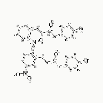 O=[N+]([O-])c1cccc(C=C[S+]([O-])Cc2ccc(Br)cc2)c1.O=[N+]([O-])c1ccccc1C=C[S+]([O-])Cc1ccc(Br)cc1